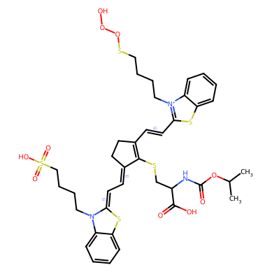 CC(C)OC(=O)NC(CSC1=C(/C=C/c2sc3ccccc3[n+]2CCCCSOOO)CC/C1=C\C=C1/Sc2ccccc2N1CCCCS(=O)(=O)O)C(=O)O